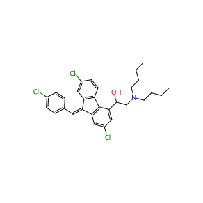 CCCCN(CCCC)CC(O)c1cc(Cl)cc2c1-c1ccc(Cl)cc1C2=Cc1ccc(Cl)cc1